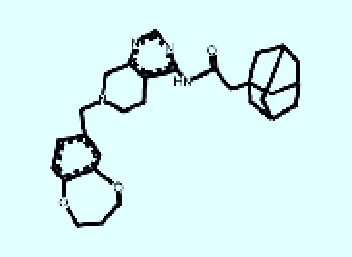 O=C(CC12CC3CC(CC(C3)C1)C2)Nc1ncnc2c1CCN(Cc1ccc3c(c1)OCCCO3)C2